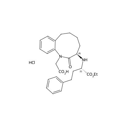 CCOC(=O)[C@H](CCc1ccccc1)N[C@@H]1CCCCc2ccccc2N(CC(=O)O)C1=O.Cl